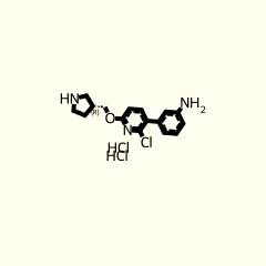 Cl.Cl.Nc1cccc(-c2ccc(OC[C@@H]3CCNC3)nc2Cl)c1